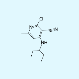 CCC(CC)Nc1cc(C)nc(Cl)c1C#N